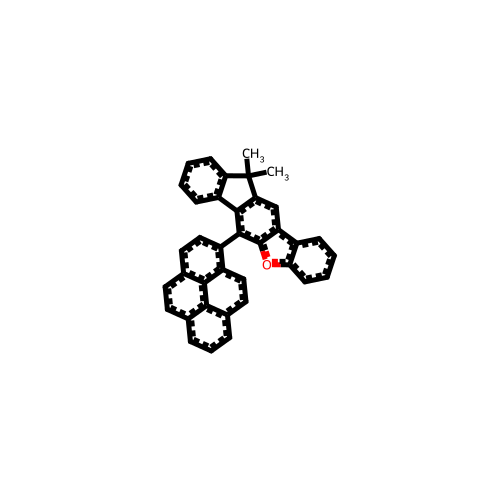 CC1(C)c2ccccc2-c2c1cc1c(oc3ccccc31)c2-c1ccc2ccc3cccc4ccc1c2c34